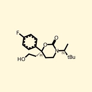 C[C@H](N1CC[C@@](CCO)(c2ccc(F)cc2)OC1=O)C(C)(C)C